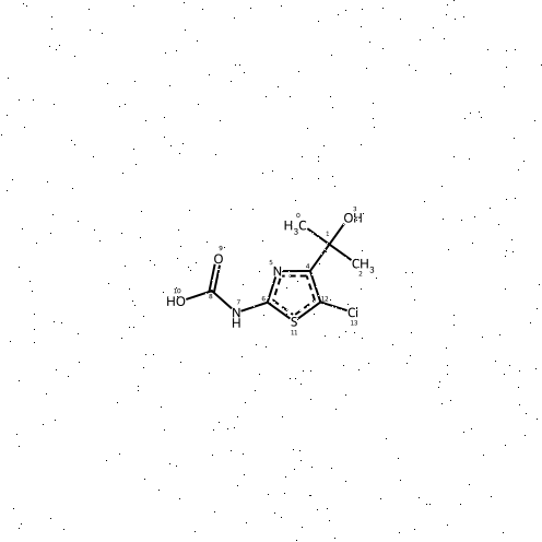 CC(C)(O)c1nc(NC(=O)O)sc1Cl